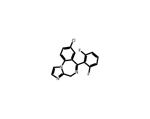 Fc1cccc(F)c1C1=NCc2nccn2-c2ccc(Cl)cc21